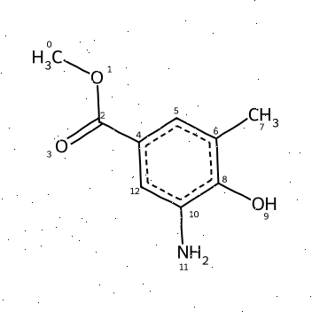 COC(=O)c1cc(C)c(O)c(N)c1